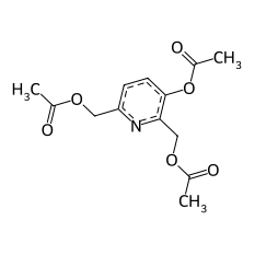 CC(=O)OCc1ccc(OC(C)=O)c(COC(C)=O)n1